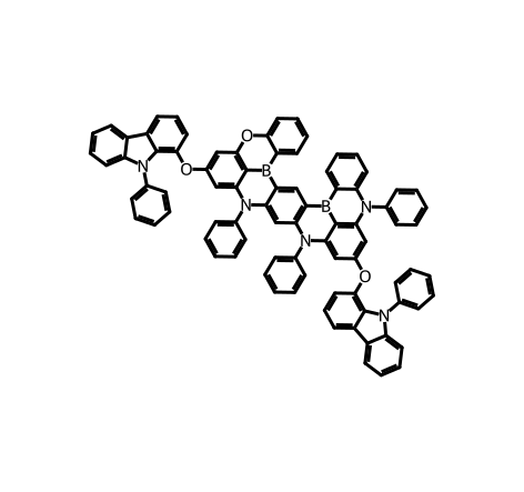 c1ccc(N2c3cc4c(cc3B3c5ccccc5Oc5cc(Oc6cccc7c8ccccc8n(-c8ccccc8)c67)cc2c53)B2c3ccccc3N(c3ccccc3)c3cc(Oc5cccc6c7ccccc7n(-c7ccccc7)c56)cc(c32)N4c2ccccc2)cc1